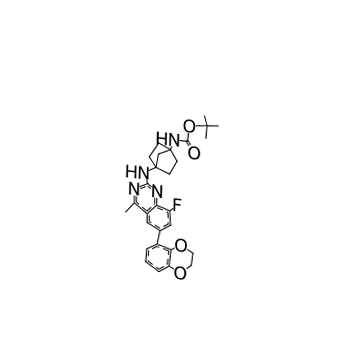 Cc1nc(NC23CCC(NC(=O)OC(C)(C)C)(CC2)C3)nc2c(F)cc(-c3cccc4c3OCCO4)cc12